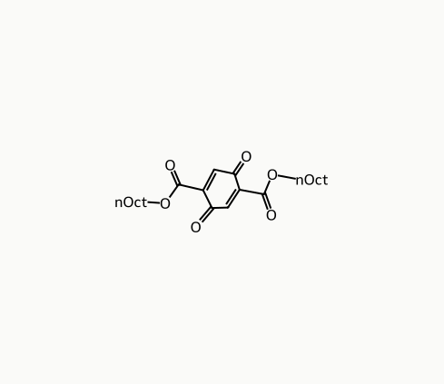 CCCCCCCCOC(=O)C1=CC(=O)C(C(=O)OCCCCCCCC)=CC1=O